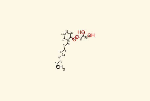 CCCCCCCCCc1ccccc1OOCC(O)CO